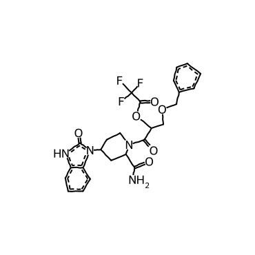 NC(=O)C1CC(n2c(=O)[nH]c3ccccc32)CCN1C(=O)C(COCc1ccccc1)OC(=O)C(F)(F)F